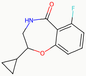 O=C1NCC(C2CC2)Oc2cccc(F)c21